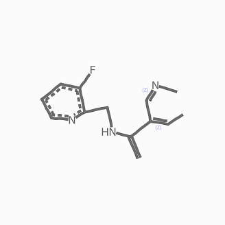 C=C(NCc1ncccc1F)C(/C=N\C)=C/C